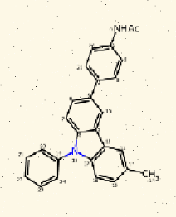 CC(=O)Nc1ccc(-c2ccc3c(c2)c2cc(C)ccc2n3-c2ccccc2)cc1